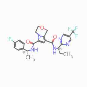 CC[C@@H](NC(=O)c1cc(C(=O)N[C@H](C)c2ccc(F)cc2)n2c1COCC2)c1ncc(C(F)(F)F)cn1